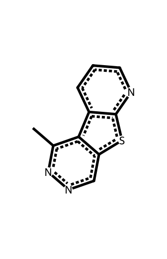 Cc1nncc2sc3ncccc3c12